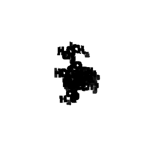 COC(=O)C[C@H]1CC[C@@H]2O[C@@H]([C@@H](O)C#CC(=O)CC[C@@H](Cl)CC(C)(C)I)C(O[Si](C)(C)C(C)(C)C)C(O[Si](C)(C)C(C)(C)C)C2O1